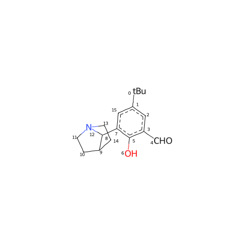 CC(C)(C)c1cc(C=O)c(O)c(C2C3CCN2CC3)c1